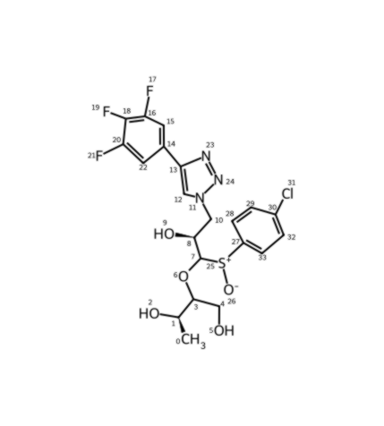 C[C@@H](O)C(CO)OC([C@@H](O)Cn1cc(-c2cc(F)c(F)c(F)c2)nn1)[S+]([O-])c1ccc(Cl)cc1